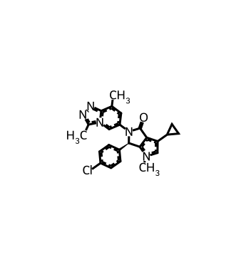 Cc1cc(N2C(=O)c3c(C4CC4)cn(C)c3[C@H]2c2ccc(Cl)cc2)cn2c(C)nnc12